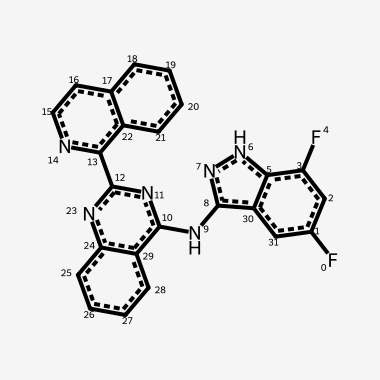 Fc1cc(F)c2[nH]nc(Nc3nc(-c4nccc5ccccc45)nc4ccccc34)c2c1